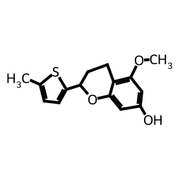 COc1cc(O)cc2c1CCC(c1ccc(C)s1)O2